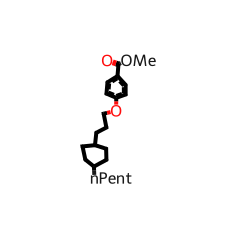 CCCCCC1CCC(CCCOc2ccc(C(=O)OC)cc2)CC1